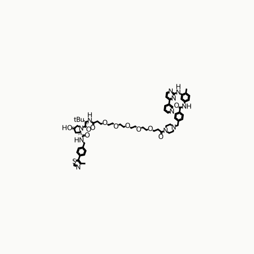 Cc1ccc(NC(=O)c2ccc(CN3CCN(C(=O)CCOCCOCCOCCOCCOCCC(=O)N[C@H](C(=O)N4C[C@H](O)C[C@H]4C(=O)NCc4ccc(-c5scnc5C)cc4)C(C)(C)C)CC3)cc2)cc1Nc1nccc(-c2cccnc2)n1